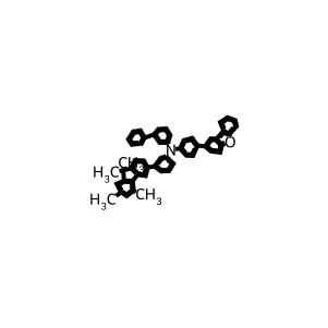 Cc1cc(C)c2c(c1)C(C)(C)c1ccc(-c3cccc(N(c4ccc(-c5ccc6oc7ccccc7c6c5)cc4)c4cccc(-c5ccccc5)c4)c3)cc1-2